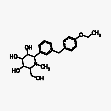 CCOc1ccc(Cc2cccc(C3C(O)C(O)C(O)C(CO)N3C)c2)cc1